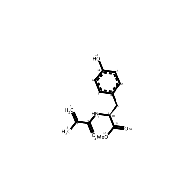 C=C(C)C(=O)N[C@@H](Cc1ccc(O)cc1)C(=O)OC